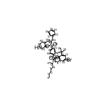 CCCCCC(C)N(Cc1cc(Br)cc(C(C)(C)C)c1)S(=O)(=O)c1ccc(S(=O)(=O)N(Cc2ccccc2)CC2CCNCC2)cc1